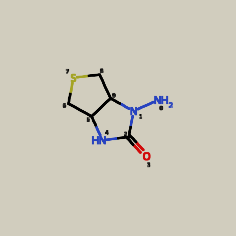 NN1C(=O)NC2CSCC21